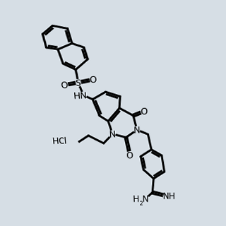 CCCn1c(=O)n(Cc2ccc(C(=N)N)cc2)c(=O)c2ccc(NS(=O)(=O)c3ccc4ccccc4c3)cc21.Cl